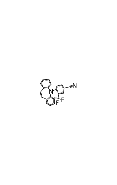 N#Cc1ccc(N2c3ccccc3C=Cc3ccccc32)c(C(F)(F)F)c1